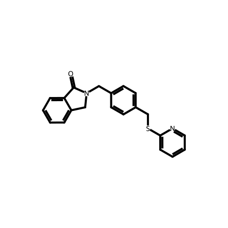 O=C1c2ccccc2CN1Cc1ccc(CSc2ccccn2)cc1